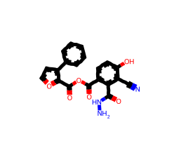 N#Cc1c(O)ccc(C(=O)OC(=O)c2occc2-c2ccccc2)c1C(=O)NN